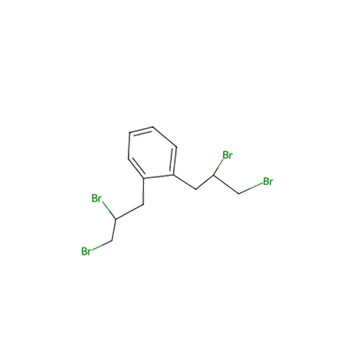 BrCC(Br)Cc1ccccc1CC(Br)CBr